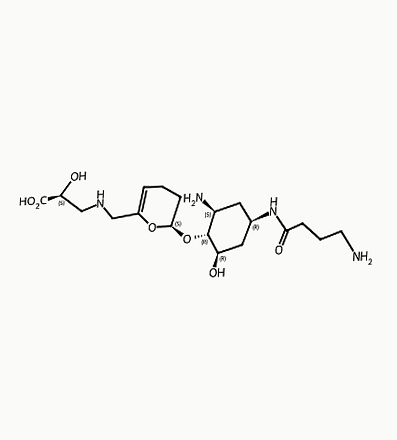 NCCCC(=O)N[C@H]1C[C@@H](O)[C@H](O[C@@H]2CCC=C(CNC[C@H](O)C(=O)O)O2)[C@@H](N)C1